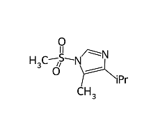 Cc1c(C(C)C)ncn1S(C)(=O)=O